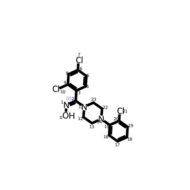 O/N=C(/c1ccc(Cl)cc1Cl)N1CCN(c2ccccc2Cl)CC1